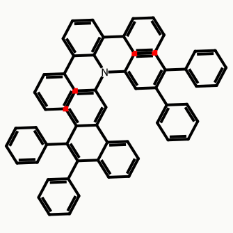 c1ccc(-c2ccc(N(c3ccc4c(-c5ccccc5)c(-c5ccccc5)c5ccccc5c4c3)c3c(-c4ccccc4)cccc3-c3ccccc3)cc2-c2ccccc2)cc1